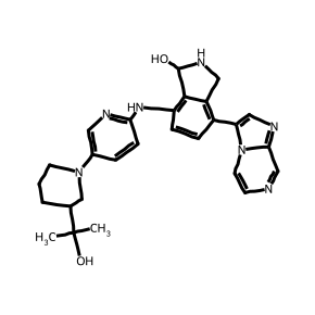 CC(C)(O)C1CCCN(c2ccc(Nc3ccc(-c4cnc5cnccn45)c4c3C(O)NC4)nc2)C1